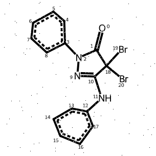 O=C1N(c2ccccc2)N=C(Nc2ccccc2)C1(Br)Br